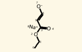 CCOC(=O)/C=C/[O-].[Na+]